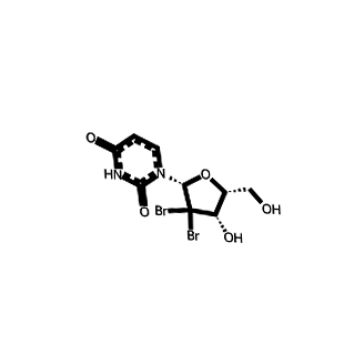 O=c1ccn([C@@H]2O[C@H](CO)[C@H](O)C2(Br)Br)c(=O)[nH]1